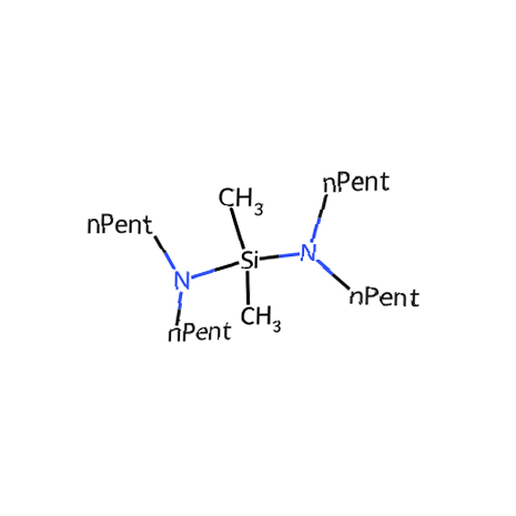 CCCCCN(CCCCC)[Si](C)(C)N(CCCCC)CCCCC